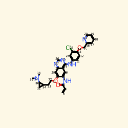 C=CC(=O)Nc1cc2c(Nc3ccc(OCc4ccccn4)c(Cl)c3)ncnc2cc1OCCC1CC1N(C)C